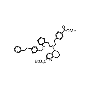 CCOC(=O)c1ccc2c(n1)CCCC2N(CCc1ccc(C(=O)OC)cc1)CCc1ccccc1OCc1ccc(CCc2ccccc2)cc1